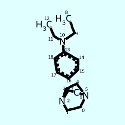 C1CN2CCN1CC2.CCN(CC)c1ccccc1